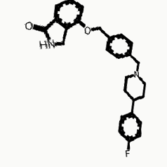 O=C1NCc2c(OCc3ccc(CN4CCC(c5ccc(F)cc5)CC4)cc3)cccc21